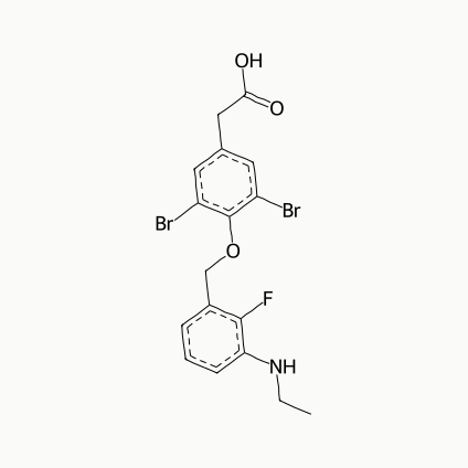 CCNc1cccc(COc2c(Br)cc(CC(=O)O)cc2Br)c1F